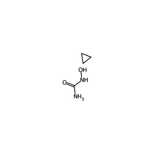 C1CC1.NC(=O)NO